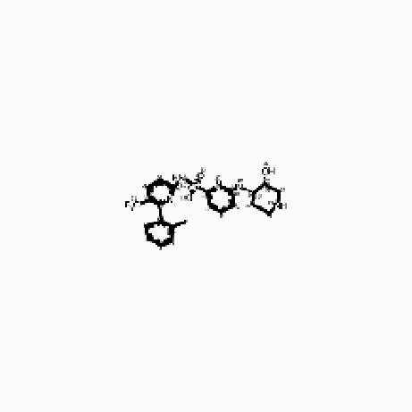 Cc1ccccc1-c1nc(NS(=O)(=O)c2cccc(N[C@@H]3CCNC[C@H]3O)n2)ccc1C(F)(F)F